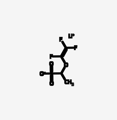 CC(OC(F)=C(F)F)S(=O)(=O)[O-].[Li+]